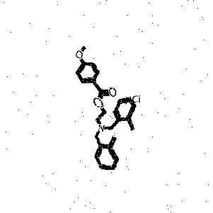 COc1ccc(C(=O)OCCN(Cc2ccccc2C)Cc2ccccc2C)cc1.Cl